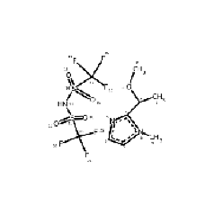 COC(C)c1nccn1C.O=S(=O)(NS(=O)(=O)C(F)(F)F)C(F)(F)F